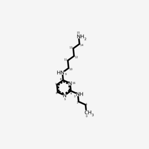 CCCNc1nccc(NCCCCCN)n1